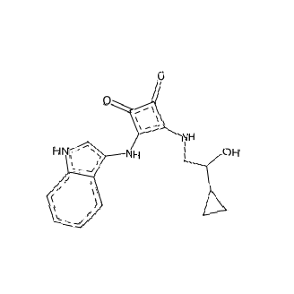 O=c1c(NCC(O)C2CC2)c(Nc2c[nH]c3ccccc23)c1=O